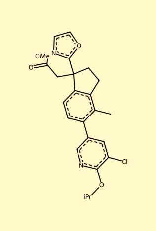 COC(=O)CC1(c2ncco2)CCc2c1ccc(-c1cnc(OC(C)C)c(Cl)c1)c2C